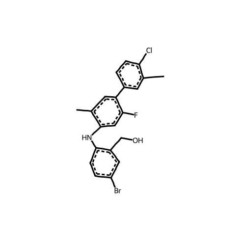 Cc1cc(-c2cc(C)c(Nc3ccc(Br)cc3CO)cc2F)ccc1Cl